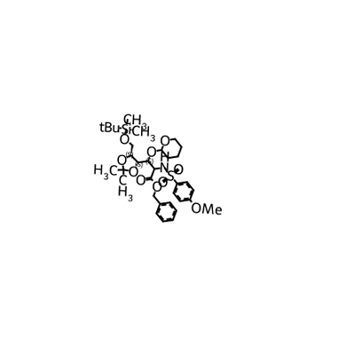 COc1ccc(S(=O)(=O)NC(C(=O)OCc2ccccc2)[C@H](OC2CCCCO2)[C@@H]2OC(C)(C)O[C@H]2CO[Si](C)(C)C(C)(C)C)cc1